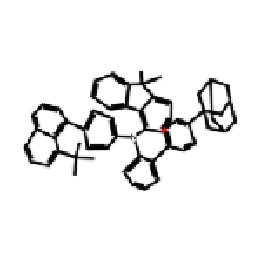 CC(C)(C)c1cccc2cccc(-c3ccc(N(c4ccccc4-c4ccc(C56CC7CC(CC(C7)C5)C6)cc4)c4cccc5c4-c4ccccc4C5(C)C)cc3)c12